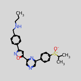 CCCNCc1ccc(-c2cc(-c3cncc(-c4ccc([S+]([O-])C(C)C)cc4)n3)on2)cc1